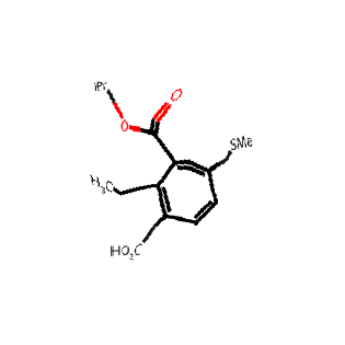 CSc1ccc(C(=O)O)c(C)c1C(=O)OC(C)C